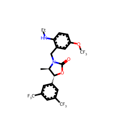 CCNc1ccc(OC(F)(F)F)cc1CN1C(=O)O[C@H](c2cc(C(F)(F)F)cc(C(F)(F)F)c2)[C@H]1C